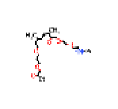 CCC(=O)COCCCOCCC(C)CCC(C)C(=O)COCCOCCNC(C)C